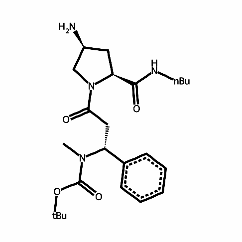 CCCCNC(=O)[C@@H]1C[C@H](N)CN1C(=O)C[C@H](c1ccccc1)N(C)C(=O)OC(C)(C)C